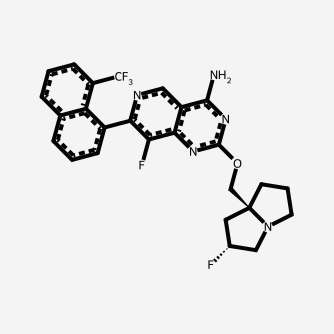 Nc1nc(OC[C@@]23CCCN2C[C@H](F)C3)nc2c(F)c(-c3cccc4cccc(C(F)(F)F)c34)ncc12